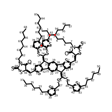 CCCCCCCCN1C(=O)/C(=C\c2cc3c(s2)-c2cc4c(cc2C3=C(SCc2ccc(CCCCCC)s2)SCc2ccc(CCCCCC)s2)-c2sc(/C=C3/SC(=S)N(CCCCCCCC)C3=O)cc2C4=C(Sc2ccc(CCCCCC)s2)Sc2ccc(CCCCCC)s2)SC1=S